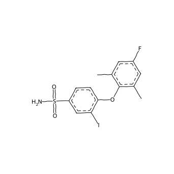 Cc1cc(F)cc(C)c1Oc1ccc(S(N)(=O)=O)cc1I